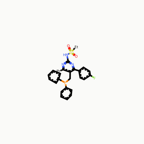 CCS(=O)(=O)Nc1nc(-c2ccc(F)cc2)c(CP(c2ccccc2)c2ccccc2)c(C(C)C)n1